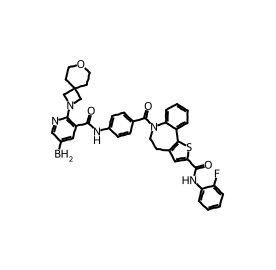 Bc1cnc(N2CC3(CCOCC3)C2)c(C(=O)Nc2ccc(C(=O)N3CCc4cc(C(=O)Nc5ccccc5F)sc4-c4ccccc43)cc2)c1